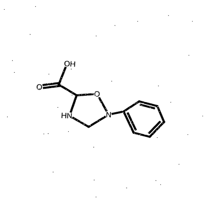 O=C(O)C1NCN(c2ccccc2)O1